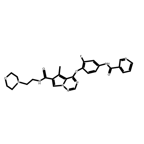 Cc1c(C(=O)NCCN2CCOCC2)cn2ncnc(Oc3ccc(NC(=O)c4cccnc4)cc3F)c12